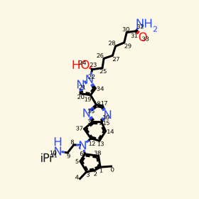 Cc1cc(C)cc(N(CCNC(C)C)c2ccc3ncc(-c4cnn(C(O)CCCCCCC(N)=O)c4)nc3c2)c1